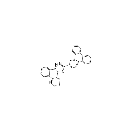 c1ccc2c(c1)c1ccccc1c1cc(-c3nnc4c5ccccc5c5ncccc5c4n3)ccc21